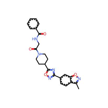 Cc1noc2cc(-c3noc(C4CCN(C(=O)CNC(=O)c5ccccc5)CC4)n3)ccc12